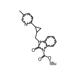 Cc1ccc(C2CC2Cn2c(=O)n(C(=O)OC(C)(C)C)c3ccccc32)nc1